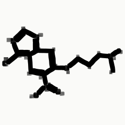 CN(C)CCCOc1cc2ncnc(Cl)c2cc1[N+](=O)[O-]